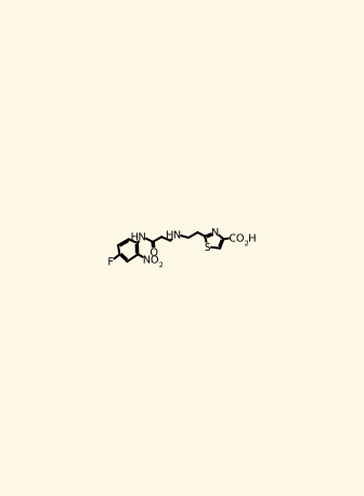 O=C(CCNCCc1nc(C(=O)O)cs1)Nc1ccc(F)cc1[N+](=O)[O-]